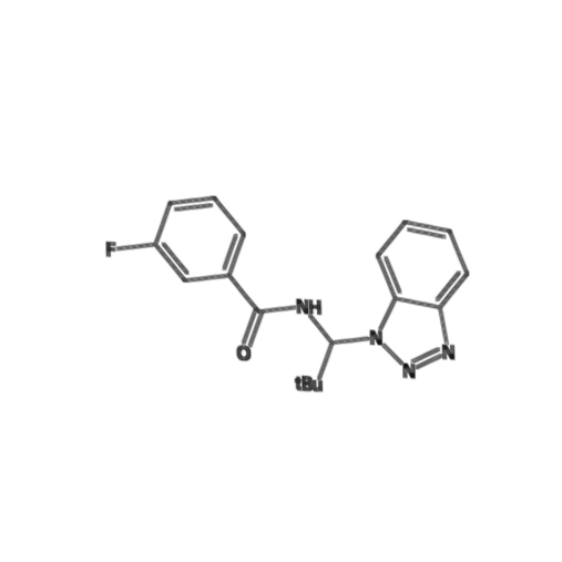 CC(C)(C)C(NC(=O)c1cccc(F)c1)n1nnc2ccccc21